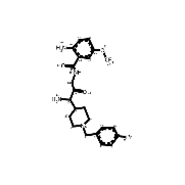 CC(C)c1ccc(CN2CCC(C(N)C(=O)CNC(=O)c3cc(OC(F)(F)F)ccc3N)CC2)cc1